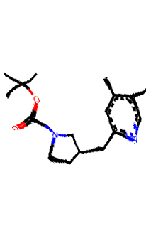 Cc1cnc(CC2CCN(C(=O)OC(C)(C)C)C2)cc1C